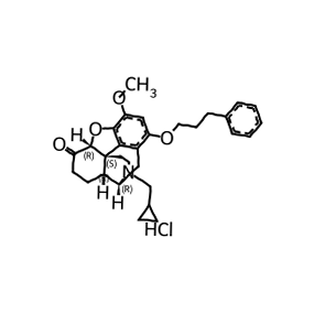 COc1cc(OCCCc2ccccc2)c2c3c1O[C@H]1C(=O)CC[C@H]4[C@@H](C2)N(CC2CC2)CC[C@]314.Cl